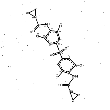 O=C(Nc1c(Cl)cc(S(=O)(=O)c2cc(Cl)c(NC(=O)N3CC3)c(Cl)c2)cc1Cl)N1CC1